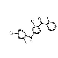 Cc1cc(Cl)ccc1Nc1ccc(C(=O)c2ccccc2C)c(Cl)c1